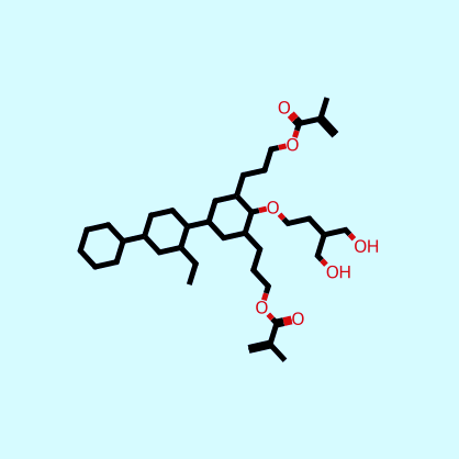 C=C(C)C(=O)OCCCC1CC(C2CCC(C3CCCCC3)CC2CC)CC(CCCOC(=O)C(=C)C)C1OCCC(CO)CO